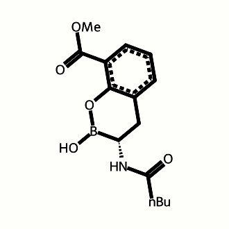 CCCCC(=O)N[C@H]1Cc2cccc(C(=O)OC)c2OB1O